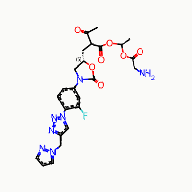 CC(=O)C(C[C@H]1CN(c2ccc(-n3cc(Cn4cccn4)nn3)c(F)c2)C(=O)O1)C(=O)OC(C)OC(=O)CN